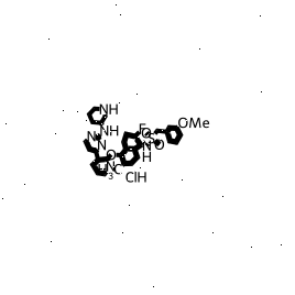 COc1cccc(CS(=O)(=O)Nc2c(F)ccc3c(Oc4ncccc4-c4ccnc(NC5CCCNC5)n4)c(C)ccc23)c1.Cl